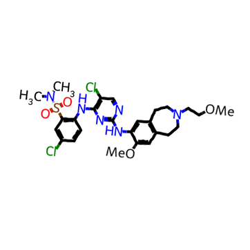 COCCN1CCc2cc(Nc3ncc(Cl)c(Nc4ccc(Cl)cc4S(=O)(=O)N(C)C)n3)c(OC)cc2CC1